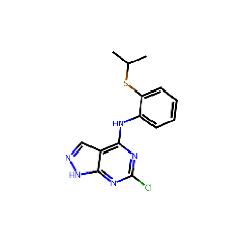 CC(C)Sc1ccccc1Nc1nc(Cl)nc2[nH]ncc12